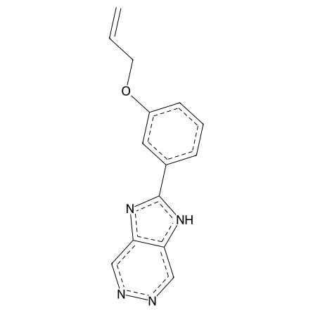 C=CCOc1cccc(-c2nc3cnncc3[nH]2)c1